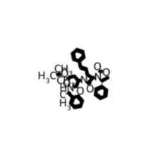 C[C@H](NC(=O)C(CC(=O)OC(C)(C)C)N1C(=O)C(N2C(=O)OC[C@@H]2c2ccccc2)C1C=Cc1ccccc1)c1ccccc1